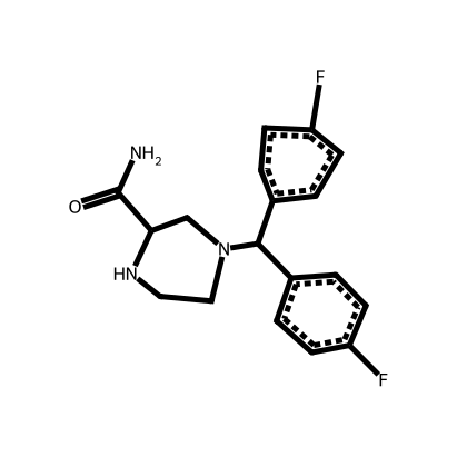 NC(=O)C1CN(C(c2ccc(F)cc2)c2ccc(F)cc2)CCN1